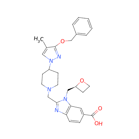 Cc1cn(C2CCN(Cc3nc4ccc(C(=O)O)cc4n3C[C@@H]3CCO3)CC2)nc1OCc1ccccc1